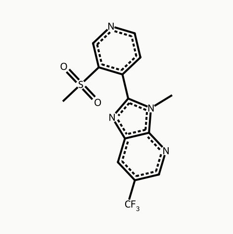 Cn1c(-c2ccncc2S(C)(=O)=O)nc2cc(C(F)(F)F)cnc21